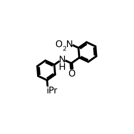 CC(C)c1cccc(NC(=O)c2ccccc2[N+](=O)[O-])c1